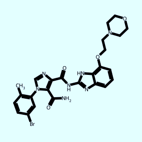 Cc1ccc(Br)cc1-n1cnc(C(=O)Nc2nc3cccc(OCCN4CCOCC4)c3[nH]2)c1C(N)=O